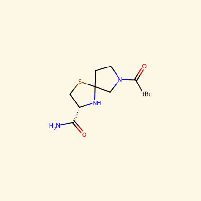 CC(C)(C)C(=O)N1CCC2(C1)N[C@H](C(N)=O)CS2